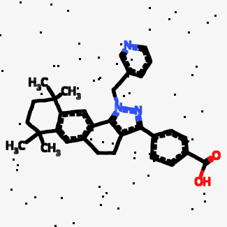 CC1(C)CCC(C)(C)c2cc3c(cc21)CCc1c(-c2ccc(C(=O)O)cc2)nn(Cc2cccnc2)c1-3